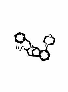 CC1CC2CC(c3c2cccc3N2CCOCC2)N1Cc1ccccc1